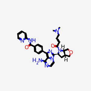 CN(C)C/C=C/C(=O)N1[C@@H]2COC[C@@H]2C[C@H]1c1nc(-c2ccc(C(=O)Nc3ccccn3)cc2)c2c(N)nccn12